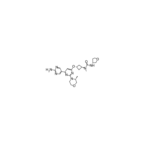 C[C@H]1COCCN1c1nc(O[C@H]2C[C@H](N(C)C(=O)N[C@@H]3CCOC3)C2)cc(-c2cnc(N)nc2)n1